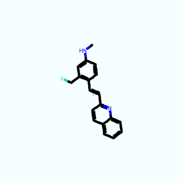 CNc1ccc(/C=C/c2ccc3ccccc3n2)c(CF)c1